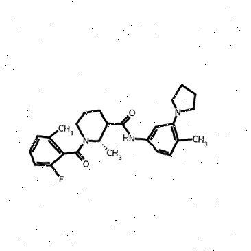 Cc1ccc(NC(=O)C2CCCN(C(=O)c3c(C)cccc3F)[C@H]2C)cc1N1CCCC1